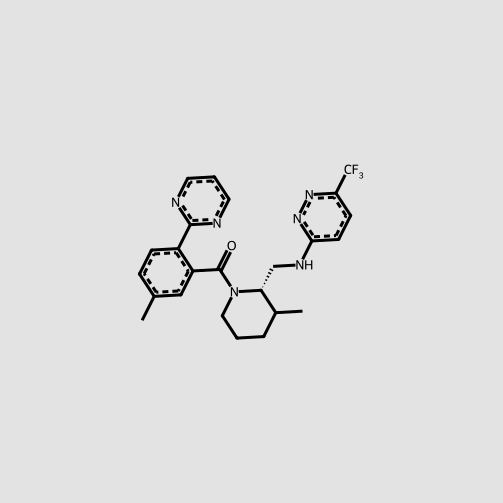 Cc1ccc(-c2ncccn2)c(C(=O)N2CCCC(C)[C@H]2CNc2ccc(C(F)(F)F)nn2)c1